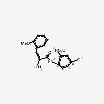 COc1ccccc1C=C(C)C(=O)Nc1ccc(Cl)cc1C(=O)O